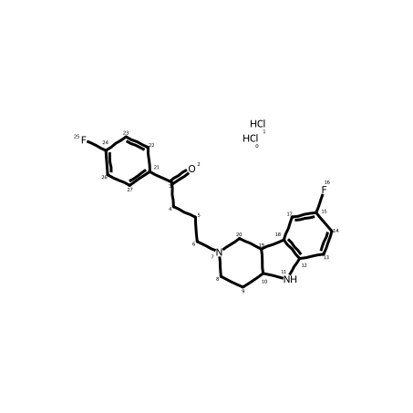 Cl.Cl.O=C(CCCN1CCC2Nc3ccc(F)cc3C2C1)c1ccc(F)cc1